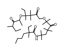 CCCCC(C)(CC)C(=O)NC(C)(C)CC(C)(C)C(=O)C(C)(C)OCC(=O)C(C)(C)C(C)(CC)OC(C)C(=O)C(C)CC